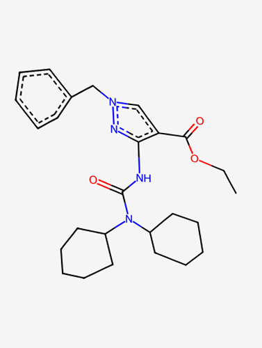 CCOC(=O)c1cn(Cc2ccccc2)nc1NC(=O)N(C1CCCCC1)C1CCCCC1